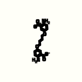 Nc1ccc(OCCCCOc2ccc(N)c([N+](=O)[O-])c2)cc1[N+](=O)[O-]